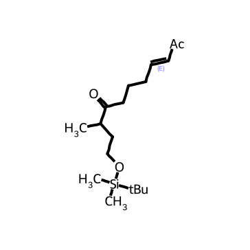 CC(=O)/C=C/CCCC(=O)C(C)CCO[Si](C)(C)C(C)(C)C